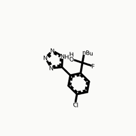 CCCCC(O)(F)c1ccc(Cl)cc1-c1nnn[nH]1